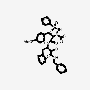 CCC(=O)N(NS(=O)(=O)c1ccccc1)C(Cc1ccc(OC)cc1)C(=O)NC(Cc1ccccc1)C(O)C(=O)NCc1ccccc1